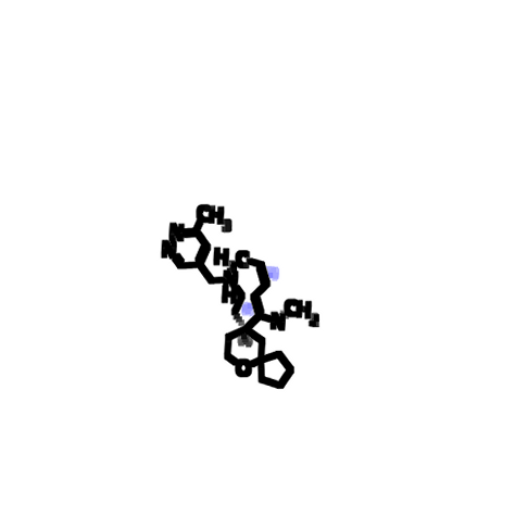 C=N/C(=C\C=C/C)[C@]1(CCNCc2cnnc(C)c2)CCOC2(CCCC2)C1